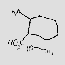 CO.NC1CCCCC1C(=O)O